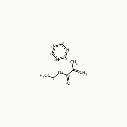 C=C(C)C(=O)OCC.c1ncncn1